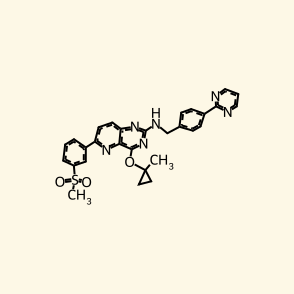 CC1(Oc2nc(NCc3ccc(-c4ncccn4)cc3)nc3ccc(-c4cccc(S(C)(=O)=O)c4)nc23)CC1